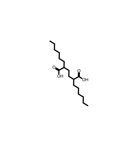 CCCCCCC(CCC(CCCCCC)C(=O)O)C(=O)O